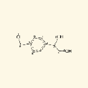 OCC(O)c1ccc(CCl)cc1